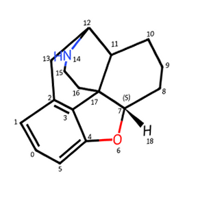 c1cc2c3c(c1)O[C@H]1CCCC4C(C2)NCCC341